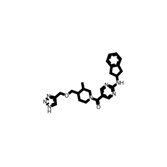 CC1CN(C(=O)c2cnc(NC3Cc4ccccc4C3)nc2)CCC1COCc1c[nH]nn1